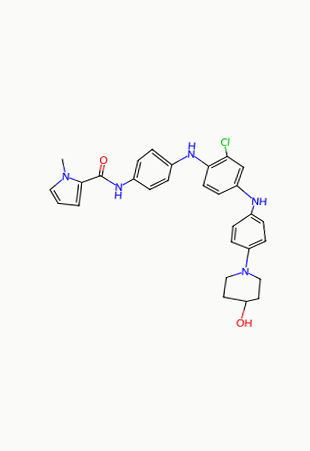 Cn1cccc1C(=O)Nc1ccc(Nc2ccc(Nc3ccc(N4CCC(O)CC4)cc3)cc2Cl)cc1